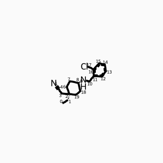 CC[C@]1(CC#N)CC[C@H](NCc2ccccc2Cl)CC1